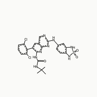 CC(C)(C)NC(=O)Nc1nc2nc(Nc3ccc4c(c3)NS(=O)(=O)N4)ncc2cc1-c1c(Cl)cccc1Cl